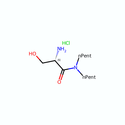 CCCCCN(CCCCC)C(=O)[C@@H](N)CO.Cl